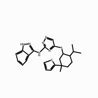 CC(C)C1CCC(C)(c2cccs2)CC1Sc1cnnc(Nc2n[nH]c3ccccc23)n1